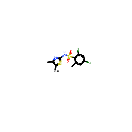 CCCCc1sc(NS(=O)(=O)c2c(C)cc(Cl)cc2Cl)nc1C